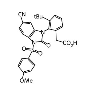 COc1ccc(S(=O)(=O)n2c(=O)n(-c3c(CC(=O)O)cccc3C(C)(C)C)c3cc(C#N)ccc32)cc1